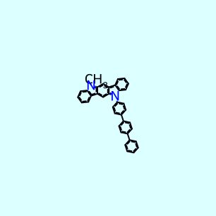 Cn1c2ccccc2c2cc3c(cc21)c1ccccc1n3-c1ccc(-c2ccc(-c3ccccc3)cc2)cc1